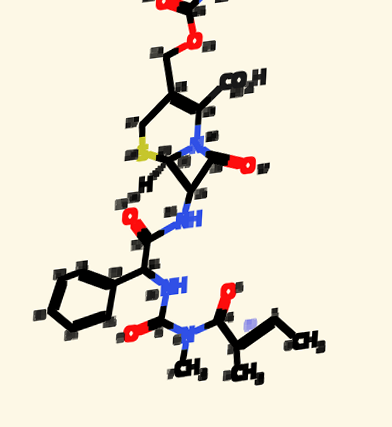 C/C=C(\C)C(=O)N(C)C(=O)NC(C(=O)NC1C(=O)N2C(C(=O)O)=C(COC(N)=O)CS[C@H]12)c1ccccc1